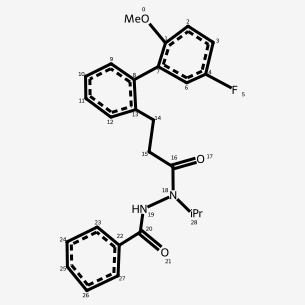 COc1ccc(F)cc1-c1ccccc1CCC(=O)N(NC(=O)c1ccccc1)C(C)C